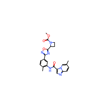 COC(=O)N1CCC1c1nc(-c2ccc(C)c(NC(=O)c3cnc4ccc(C)cn34)c2)no1